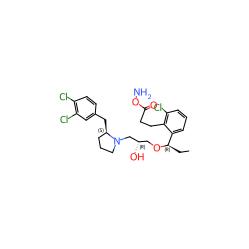 CC[C@@H](OC[C@H](O)CN1CCC[C@H]1Cc1ccc(Cl)c(Cl)c1)c1cccc(Cl)c1CCC(=O)ON